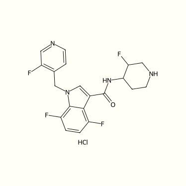 Cl.O=C(NC1CCNCC1F)c1cn(Cc2ccncc2F)c2c(F)ccc(F)c12